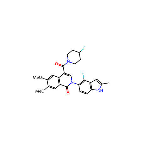 COc1cc2c(C(=O)N3CCC(F)CC3)cn(-c3ccc4[nH]c(C)cc4c3F)c(=O)c2cc1OC